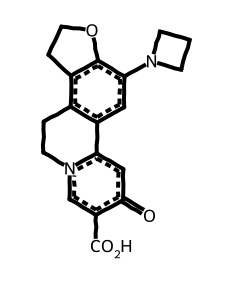 O=C(O)c1cn2c(cc1=O)-c1cc(N3CCC3)c3c(c1CC2)CCO3